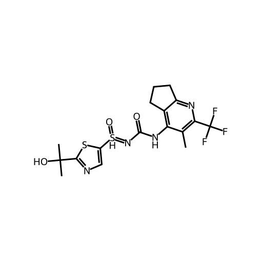 Cc1c(C(F)(F)F)nc2c(c1NC(=O)/N=[SH](=O)/c1cnc(C(C)(C)O)s1)CCC2